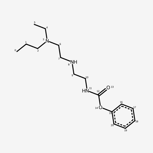 CCCN(CC)CCNCCNC(=O)Oc1ccccc1